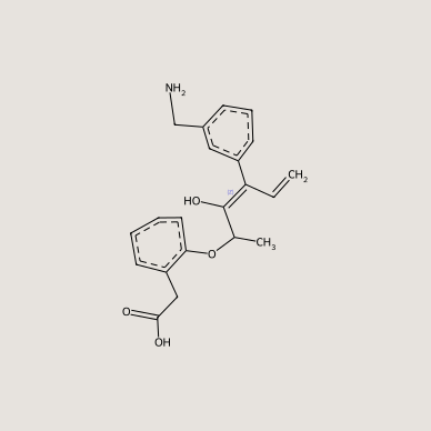 C=C/C(=C(/O)C(C)Oc1ccccc1CC(=O)O)c1cccc(CN)c1